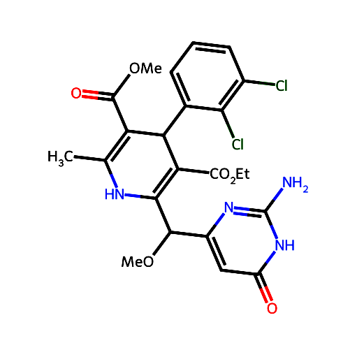 CCOC(=O)C1=C(C(OC)c2cc(=O)[nH]c(N)n2)NC(C)=C(C(=O)OC)C1c1cccc(Cl)c1Cl